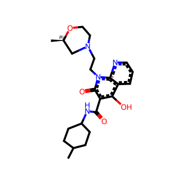 CC1CCC(NC(=O)c2c(O)c3cccnc3n(CCN3CCO[C@H](C)C3)c2=O)CC1